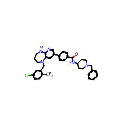 O=C(NC1CCN(Cc2ccccc2)CC1)c1ccc(-c2cnc3c(c2)N(Cc2cc(Cl)ccc2C(F)(F)F)CCCN3)cc1